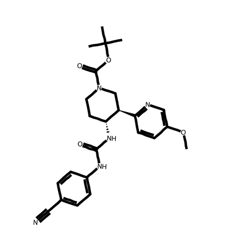 COc1ccc([C@@H]2CN(C(=O)OC(C)(C)C)CC[C@H]2NC(=O)Nc2ccc(C#N)cc2)nc1